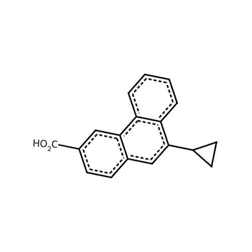 O=C(O)c1ccc2cc(C3CC3)c3ccccc3c2c1